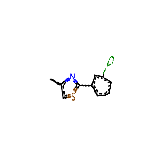 Cc1csc(-c2cccc(Cl)c2)n1